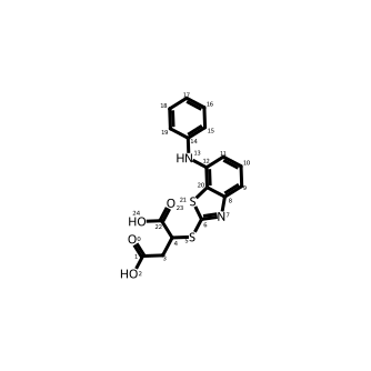 O=C(O)CC(Sc1nc2cccc(Nc3ccccc3)c2s1)C(=O)O